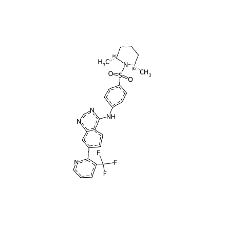 C[C@@H]1CCC[C@H](C)N1S(=O)(=O)c1ccc(Nc2ncnc3cc(-c4ncccc4C(F)(F)F)ccc23)cc1